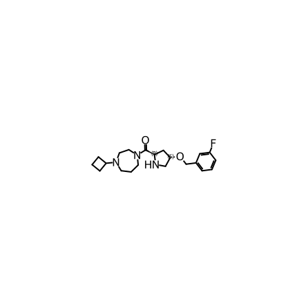 O=C([C@H]1C[C@H](OCc2cccc(F)c2)CN1)N1CCCN(C2CCC2)CC1